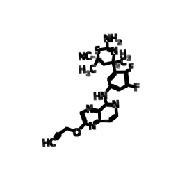 C#CCOc1cnc2c(Nc3cc(F)c(F)c([C@]4(C)C[C@](C)(C#N)SC(N)=N4)c3)nccc2n1